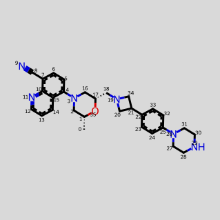 C[C@@H]1CN(c2ccc(C#N)c3ncccc23)C[C@H](CN2CC(c3ccc(N4CCNCC4)cc3)C2)O1